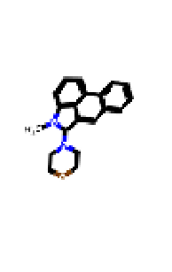 CN1c2cccc3c2c(cc2ccccc23)C1N1CCSCC1